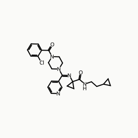 O=C(c1ccccc1Cl)N1CCN(C(=NC2(C(=O)NCCC3CC3)CC2)c2cccnc2)CC1